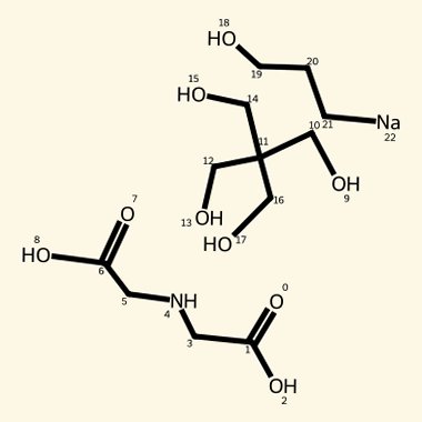 O=C(O)CNCC(=O)O.OCC(CO)(CO)CO.OCC[CH2][Na]